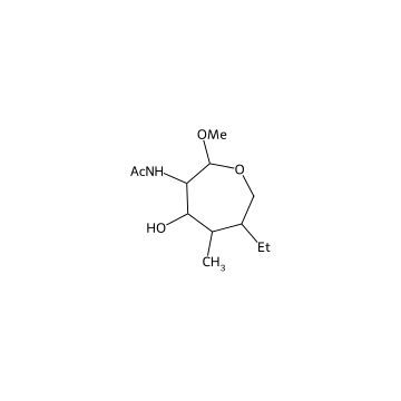 CCC1COC(OC)C(NC(C)=O)C(O)C1C